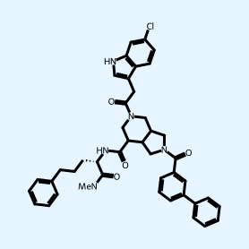 CNC(=O)[C@H](CCCc1ccccc1)NC(=O)C1CN(C(=O)Cc2c[nH]c3cc(Cl)ccc23)CC2CN(C(=O)c3cccc(-c4ccccc4)c3)CC21